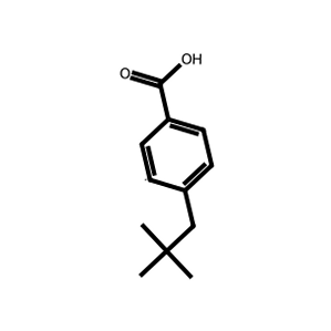 CC(C)(C)Cc1[c]cc(C(=O)O)cc1